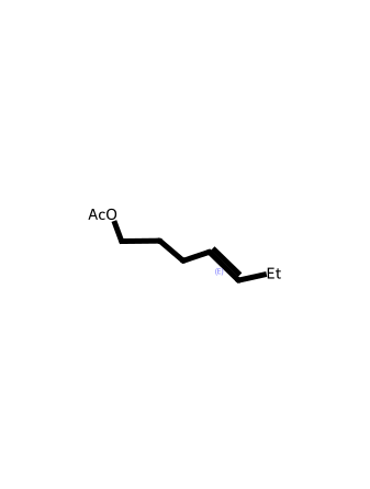 CC/C=C/CCCOC(C)=O